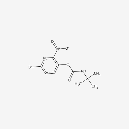 CC(C)(C)NC(=O)Oc1ccc(Br)nc1[N+](=O)[O-]